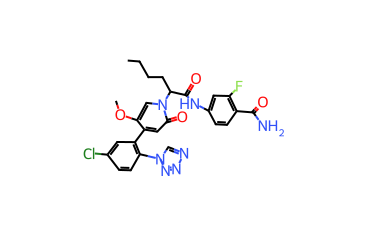 CCCCC(C(=O)Nc1ccc(C(N)=O)c(F)c1)n1cc(OC)c(-c2cc(Cl)ccc2-n2cnnn2)cc1=O